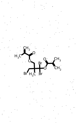 C=C(C)C(=O)OCC(C)(CBr)C(Br)(Br)OC(=O)C(=C)C